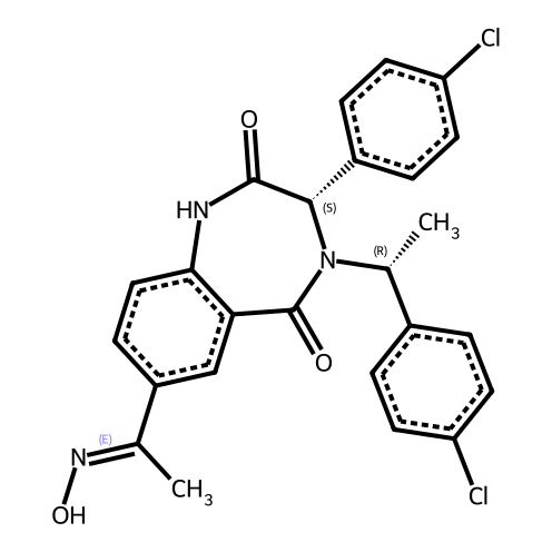 C/C(=N\O)c1ccc2c(c1)C(=O)N([C@H](C)c1ccc(Cl)cc1)[C@@H](c1ccc(Cl)cc1)C(=O)N2